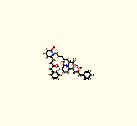 COC(=O)C(CCCCCN1C(=O)CCCC1CCC(=O)Cc1ccccc1)N1C(=O)CCCC1CCC(=O)Cc1ccccc1